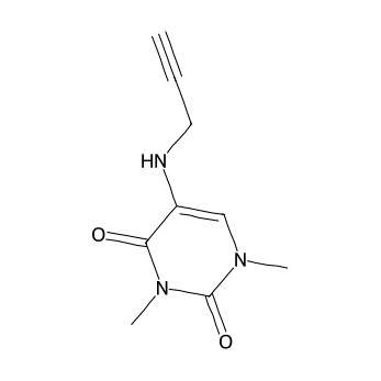 C#CCNc1cn(C)c(=O)n(C)c1=O